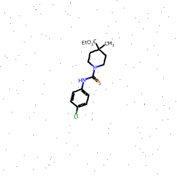 CCOC(=O)C1(C)CCN(C(=S)Nc2ccc(Cl)cc2)CC1